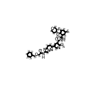 [2H]C([2H])(NC(=O)c1cc(-c2ccc3nc(NC(=O)COCc4ccccc4)cn3n2)cnc1OC)c1cc(F)cc(F)c1OC1CCOCC1